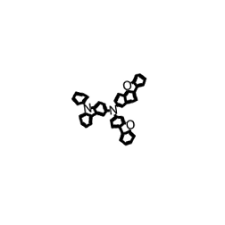 c1ccc(-n2c3ccccc3c3cc(N(c4ccc5c(ccc6c7ccccc7oc56)c4)c4ccc5c(c4)oc4ccccc45)ccc32)cc1